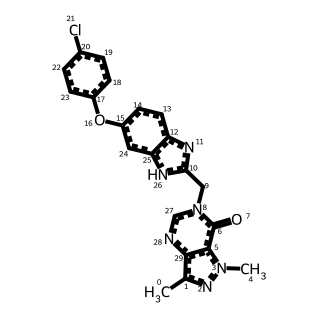 Cc1nn(C)c2c(=O)n(Cc3nc4ccc(Oc5ccc(Cl)cc5)cc4[nH]3)cnc12